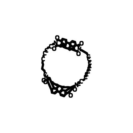 O=C1c2ccc3c4ccc5c6c7ccc(c8ccc(c2c38)C(=O)N1CCCCCCCCCCCCN1C(=O)c2ccc3c8ccc9c%10c(ccc(c%11ccc(c2c3%11)C1=O)c%108)C(=O)N(CCCCCCCCCCCCN(C5=O)C7=O)C9=O)c64